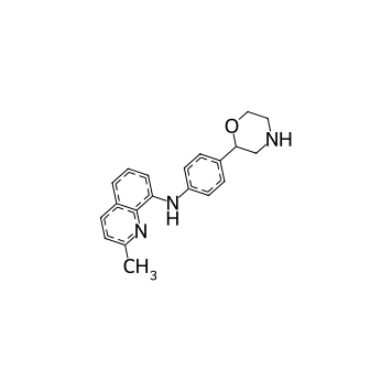 Cc1ccc2cccc(Nc3ccc(C4CNCCO4)cc3)c2n1